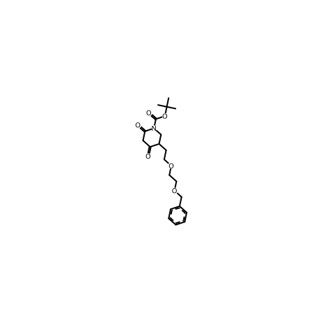 CC(C)(C)OC(=O)N1CC(CCOCCOCc2ccccc2)C(=O)CC1=O